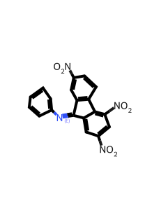 O=[N+]([O-])c1ccc2c(c1)/C(=N\c1ccccc1)c1cc([N+](=O)[O-])cc([N+](=O)[O-])c1-2